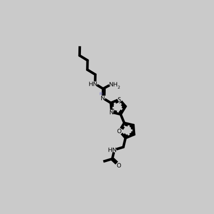 CCCCCN/C(N)=N/c1nc(-c2ccc(CNC(C)=O)o2)cs1